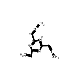 C=C=Cc1nc(C=C)nc(C=C=C)n1